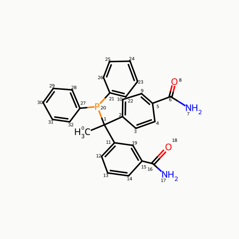 CC(c1ccc(C(N)=O)cc1)(c1cccc(C(N)=O)c1)P(c1ccccc1)c1ccccc1